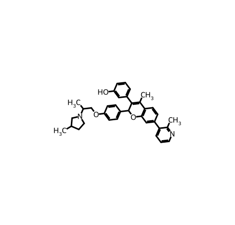 CC1=C(c2cccc(O)c2)C(c2ccc(OCC(C)N3CCC(C)C3)cc2)Oc2cc(-c3cccnc3C)ccc21